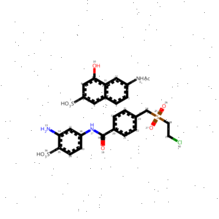 CC(=O)Nc1ccc2cc(S(=O)(=O)O)cc(O)c2c1.Nc1cc(NC(=O)c2ccc(CS(=O)(=O)CCCl)cc2)ccc1S(=O)(=O)O